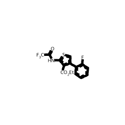 CCOC(=O)c1c(-c2ccccc2F)csc1NC(=O)C(F)(F)F